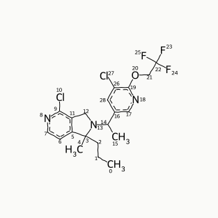 CCCC1(C)c2ccnc(Cl)c2CN1C(C)c1cnc(OCC(F)(F)F)c(Cl)c1